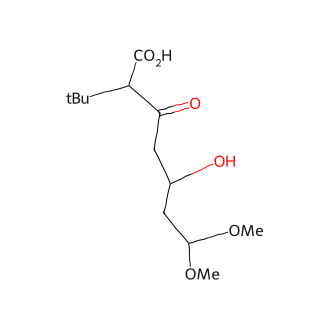 COC(CC(O)CC(=O)C(C(=O)O)C(C)(C)C)OC